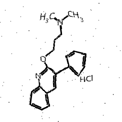 CN(C)CCCOc1nc2ccccc2cc1-c1ccccc1.Cl